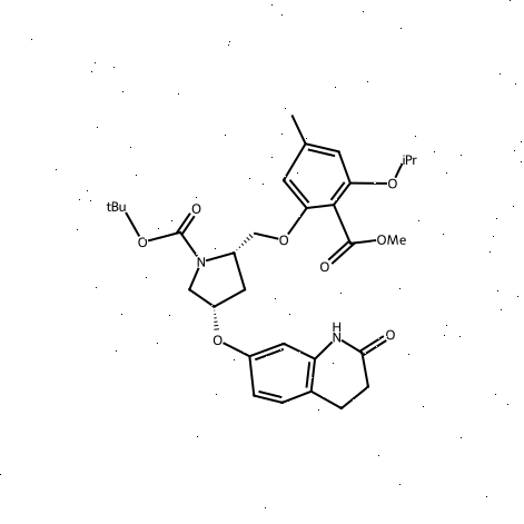 COC(=O)c1c(OC[C@@H]2C[C@H](Oc3ccc4c(c3)NC(=O)CC4)CN2C(=O)OC(C)(C)C)cc(C)cc1OC(C)C